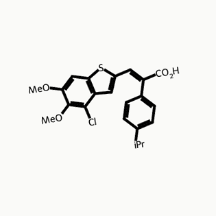 COc1cc2sc(C=C(C(=O)O)c3ccc(C(C)C)cc3)cc2c(Cl)c1OC